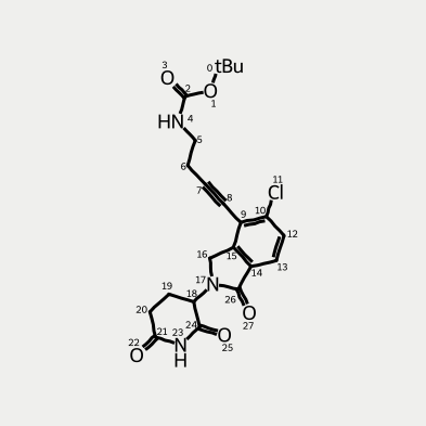 CC(C)(C)OC(=O)NCCC#Cc1c(Cl)ccc2c1CN(C1CCC(=O)NC1=O)C2=O